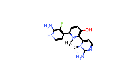 CN1C(C2=C(O)C=CC(C3=C(F)C(N)NC=C3)N2C)=CC=NC1N